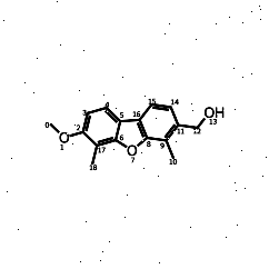 COc1ccc2c(oc3c(C)c(CO)ccc32)c1C